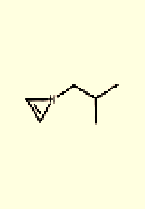 CC(C)CN1C=C1